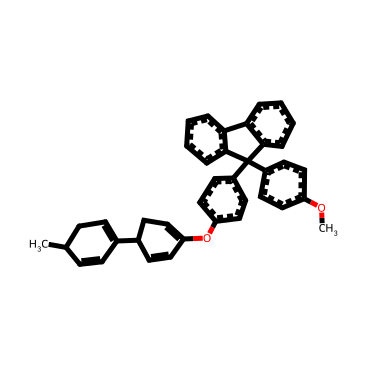 COc1ccc(C2(c3ccc(OC4=CCC(C5=CCC(C)C=C5)C=C4)cc3)c3ccccc3-c3ccccc32)cc1